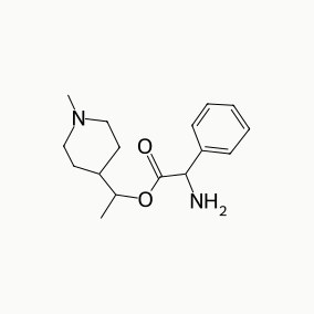 CC(OC(=O)C(N)c1ccccc1)C1CCN(C)CC1